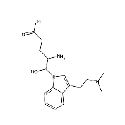 CN(C)CCc1cn(C(O)C(N)CCC(=O)O)c2ccccc12